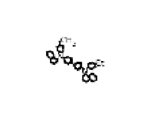 C=Cc1ccc(N(c2ccc(-c3ccc(N(c4ccc(CC)cc4)c4cccc5ccccc45)cc3)cc2)c2cccc3ccccc23)cc1